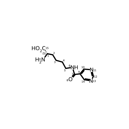 N[C@@H](CCCCNC(=O)c1cncnc1)C(=O)O